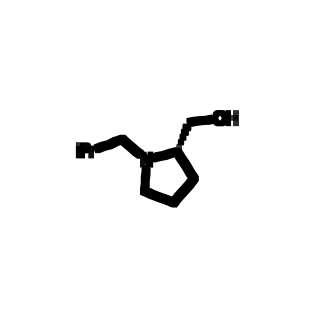 CC(C)CN1CCC[C@H]1CO